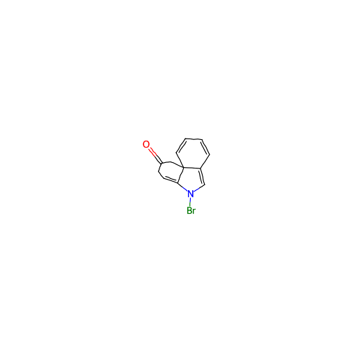 O=C1CC=C2N(Br)C=C3C=CC=CC32C1